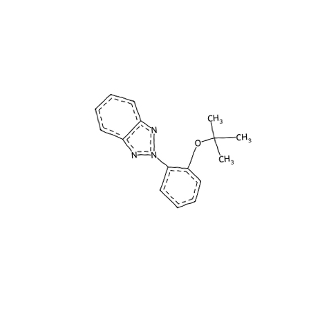 CC(C)(C)Oc1ccccc1-n1nc2ccccc2n1